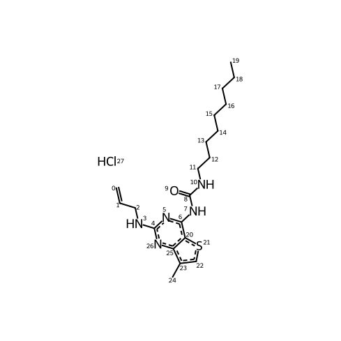 C=CCNc1nc(NC(=O)NCCCCCCCCC)c2scc(C)c2n1.Cl